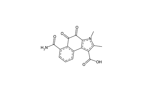 Cc1c(C(=O)O)c2c(n1C)C(=O)C(=O)c1c(C(N)=O)cccc1-2